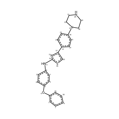 c1ccc(Oc2ccc(Nc3nc(-c4ccc(N5CCNCC5)cc4)cs3)cc2)cc1